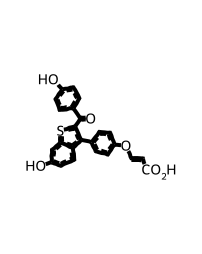 O=C(O)/C=C/Oc1ccc(-c2c(C(=O)c3ccc(O)cc3)sc3cc(O)ccc23)cc1